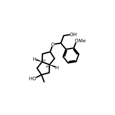 COc1ccccc1C(CO)OC1C[C@@H]2CC(C)(O)C[C@@H]2C1